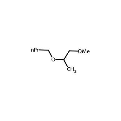 CCCCOC(C)COC